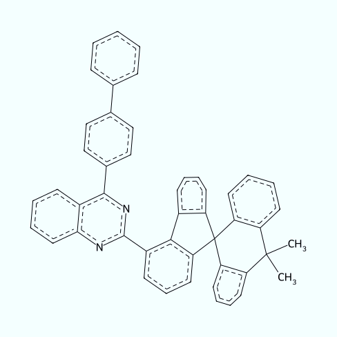 CC1(C)c2ccccc2C2(c3ccccc3-c3c(-c4nc(-c5ccc(-c6ccccc6)cc5)c5ccccc5n4)cccc32)c2ccccc21